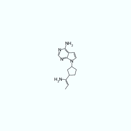 C/C=C(\N)C1CCC(n2ccc3c(N)ncnc32)C1